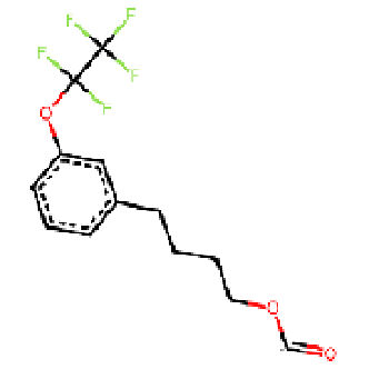 O=[C]OCCCCc1cccc(OC(F)(F)C(F)(F)F)c1